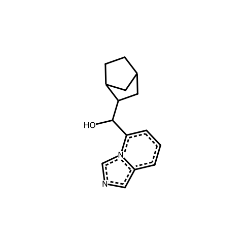 OC(c1cccc2cncn12)C1CC2CCC1C2